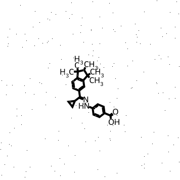 CC1C(C)(C)c2ccc(C(=NNc3ccc(C(=O)O)cc3)C3CC3)cc2C1(C)C